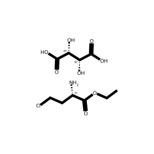 CCOC(=O)[C@@H](N)CCCl.O=C(O)[C@H](O)[C@@H](O)C(=O)O